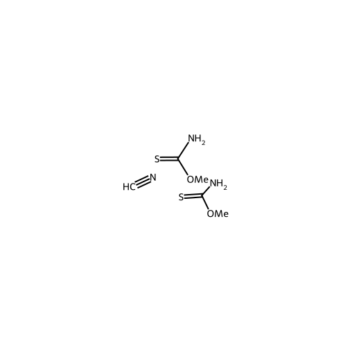 C#N.COC(N)=S.COC(N)=S